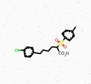 Cc1ccc(S(=O)(=O)C(CCCCc2ccc(Cl)cc2)C(=O)O)cc1